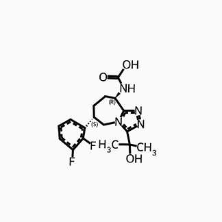 CC(C)(O)c1nnc2n1C[C@H](c1cccc(F)c1F)CC[C@H]2NC(=O)O